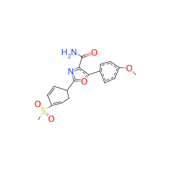 COc1ccc(-c2oc(C3C=CC(S(C)(=O)=O)=CC3)nc2C(N)=O)cc1